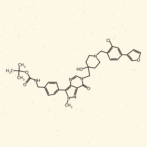 Cn1nc2c(=O)n(CC3(O)CCN(Cc4ccc(-c5ccoc5)cc4Cl)CC3)cnc2c1-c1ccc(CNC(=O)OC(C)(C)C)cc1